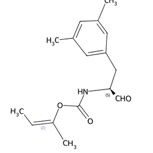 C/C=C(/C)OC(=O)N[C@H](C=O)Cc1cc(C)cc(C)c1